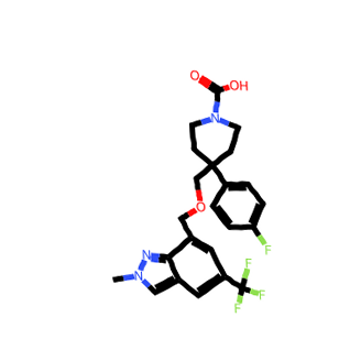 Cn1cc2cc(C(F)(F)F)cc(COCC3(c4ccc(F)cc4)CCN(C(=O)O)CC3)c2n1